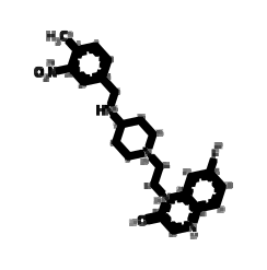 Cc1ccc(CNC2CCN(CCn3c(=O)cnc4ccc(F)cc43)CC2)cc1[N+](=O)[O-]